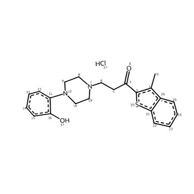 Cc1c(C(=O)CCN2CCN(c3ccccc3O)CC2)sc2ccccc12.Cl